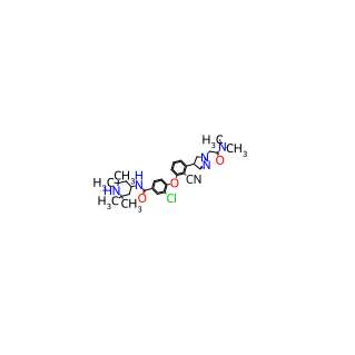 CN(C)C(=O)CN1CC(c2cccc(Oc3ccc(C(=O)NC4CC(C)(C)NC(C)(C)C4)cc3Cl)c2C#N)C=N1